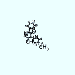 CCc1ccc(-c2c(C)cnc3c2oc2ccccc23)nc1